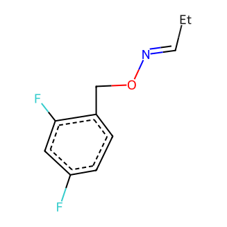 CCC=NOCc1ccc(F)cc1F